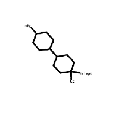 CCCCCCCC1(CC)CCC(C2CCC(CCC)CC2)CC1